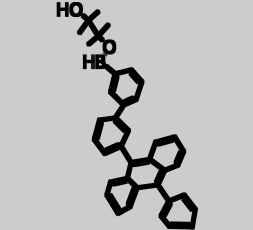 CC(C)(O)C(C)(C)OBc1cccc(-c2cccc(-c3c4ccccc4c(-c4ccccc4)c4ccccc34)c2)c1